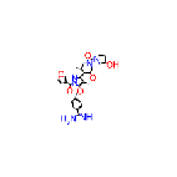 Cc1c(C2C(=O)CN(C(=O)N3CCC(O)C3)CC2C)nn(C(=O)c2ccoc2)c1OCc1ccc(C(=N)N)cc1